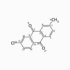 Cc1ccc2c(c1)C(=O)c1cc(Cl)ccc1C2=O